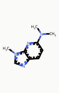 CN(C)c1ccc2n[c]n(C)c2n1